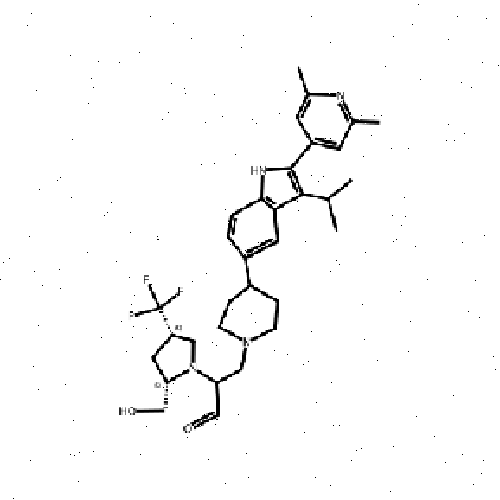 Cc1cc(-c2[nH]c3ccc(C4CCN(CC(C=O)N5C[C@@H](C(F)(F)F)C[C@H]5CO)CC4)cc3c2C(C)C)cc(C)n1